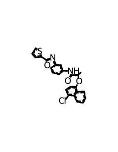 CC(Oc1ccc(Cl)c2ccccc12)C(=O)Nc1ccc2oc(-c3cccs3)nc2c1